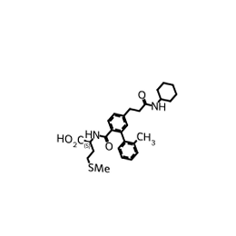 CSCC[C@H](NC(=O)c1ccc(CCC(=O)NC2CCCCC2)cc1-c1ccccc1C)C(=O)O